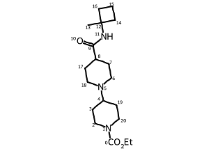 CCOC(=O)N1CCC(N2CCC(C(=O)NC3(C)CCC3)CC2)CC1